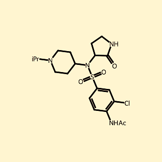 CC(=O)Nc1ccc(S(=O)(=O)N(C2CCN(C(C)C)CC2)C2CCNC2=O)cc1Cl